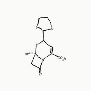 O=C(O)C1=CC(C2SCCS2)S[C@@H]2CC(=O)N12